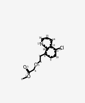 COC(=O)COCCc1ccc(Cl)c2cccnc12